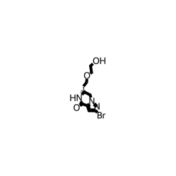 O=C1N[C@H](CCOCCO)Cn2nc(Br)cc21